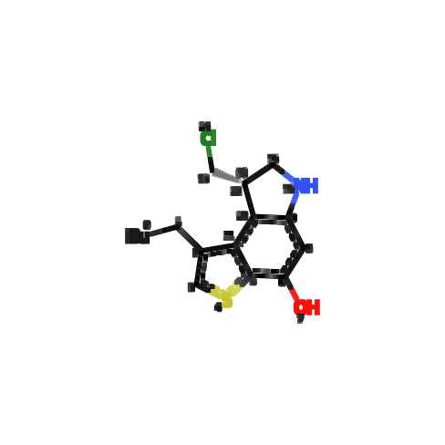 CCC(C)Cc1csc2c(O)cc3c(c12)[C@H](CCl)CN3